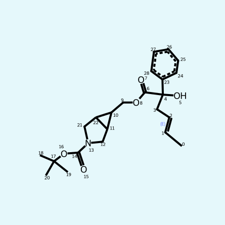 C/C=C/CC(O)(C(=O)OCC1C2CN(C(=O)OC(C)(C)C)CC12)c1ccccc1